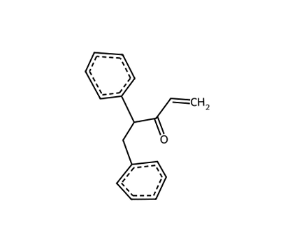 C=CC(=O)C(Cc1ccccc1)c1ccccc1